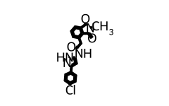 CN1C(=O)c2cccc(CC(=O)Nc3cc(-c4ccc(Cl)cc4)n[nH]3)c2C1=O